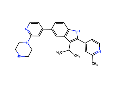 Cc1cc(-c2[nH]c3ccc(-c4ccnc(N5CCNCC5)c4)cc3c2C(C)C)ccn1